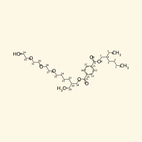 CCCCC(CC)COC(=O)c1ccc(C(=O)OCC(CC)CCCCOCCOCCOCCO)cc1